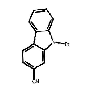 CCn1c2ccccc2c2ccc(C#N)cc21